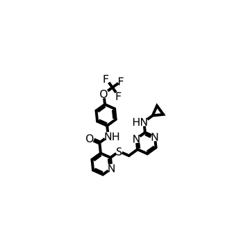 O=C(Nc1ccc(OC(F)(F)F)cc1)c1cccnc1SCc1ccnc(NC2CC2)n1